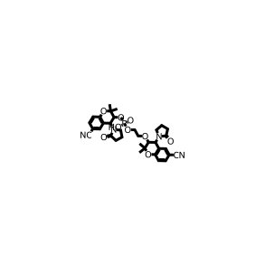 CC1(C)Oc2ccc(C#N)cc2C(N2CCCC2=O)C1OCCOP(=O)(O)OC1C(N2CCCC2=O)c2cc(C#N)ccc2OC1(C)C